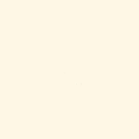 CC=COC=CC.c1ccc2ccccc2c1